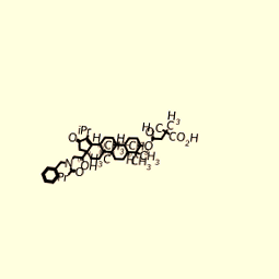 CC(C)C(=O)N(Cc1ccccc1)C[C@H](O)[C@@]12CC[C@]3(C)[C@H](CC[C@@H]4[C@@]5(C)CC[C@H](OC(=O)CC(C)(C)C(=O)O)C(C)(C)[C@@H]5CC[C@]43C)C1=C(C(C)C)C(=O)C2